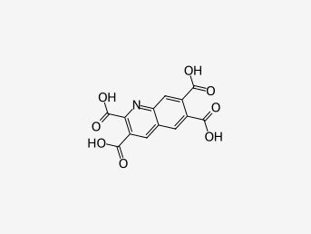 O=C(O)c1cc2cc(C(=O)O)c(C(=O)O)nc2cc1C(=O)O